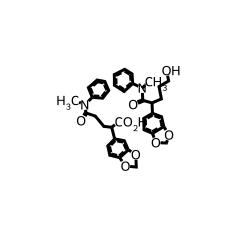 CN(C(=O)C(CCCO)c1ccc2c(c1)OCO2)c1ccccc1.CN(C(=O)CCC(C(=O)O)c1ccc2c(c1)OCO2)c1ccccc1